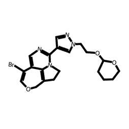 BrC1=COCC2=C3C1=CN=C(c1cnn(CCOC4CCCCO4)c1)N3CC2